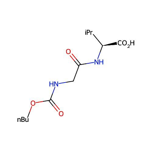 CCCCOC(=O)NCC(=O)N[C@H](C(=O)O)C(C)C